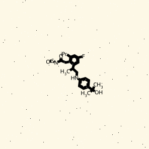 CC(C)c1cc(F)cc(C(C)CNc2ccc(C(C)(C)O)cc2)c1CC(=O)N=S=O